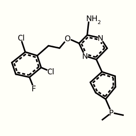 CP(C)c1ccc(-c2cnc(N)c(OCCc3c(Cl)ccc(F)c3Cl)n2)cc1